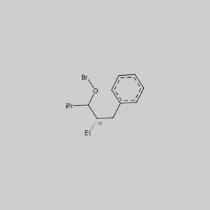 CC[C@@H](Cc1ccccc1)C(OBr)C(C)C